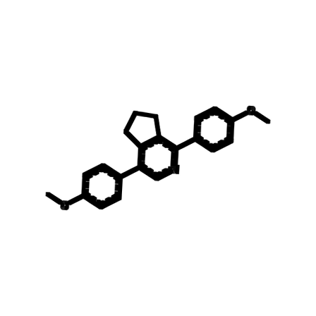 COc1ccc(-c2cnc(-c3ccc(OC)cc3)c3c2CCC3)cc1